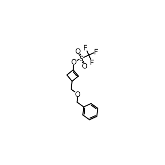 O=S(=O)(OC1=CC(COCc2ccccc2)C1)C(F)(F)F